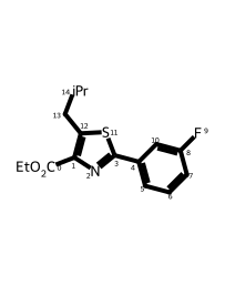 CCOC(=O)c1nc(-c2cccc(F)c2)sc1CC(C)C